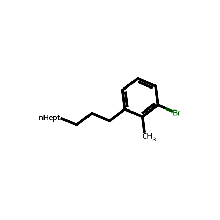 CCCCCCCCCCc1cccc(Br)c1C